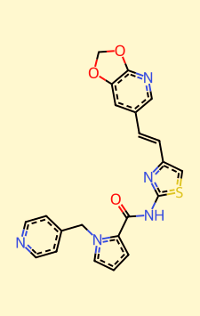 O=C(Nc1nc(/C=C/c2cnc3c(c2)OCO3)cs1)c1cccn1Cc1ccncc1